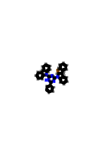 c1ccc(C2N=C(n3c4ccccc4c4c5ccccc5sc43)N=C(n3c4ccccc4c4ccccc43)N2)cc1